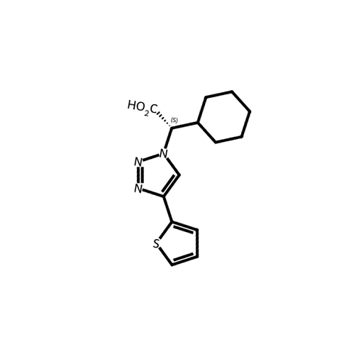 O=C(O)[C@H](C1CCCCC1)n1cc(-c2cccs2)nn1